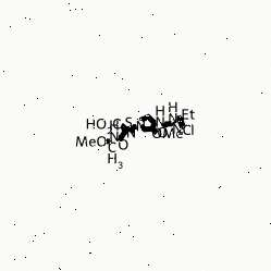 CCc1[nH]c(C(=O)NC2CCN(c3nc(C(=O)NC(C)OC)c(C(=O)O)s3)CC2OC)nc1Cl